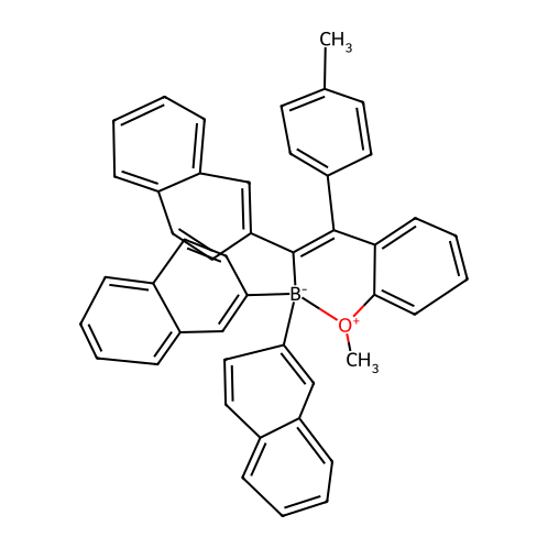 Cc1ccc(C2=C(c3ccc4ccccc4c3)[B-](c3ccc4ccccc4c3)(c3ccc4ccccc4c3)[O+](C)c3ccccc32)cc1